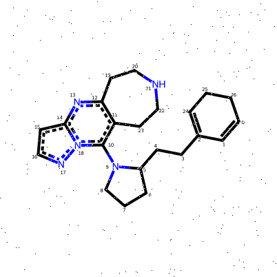 C1=CC(CCC2CCCN2c2c3c(nc4ccnn24)CCNCC3)=CCC1